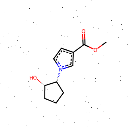 COC(=O)c1ccn([C@@H]2CCC[C@@H]2O)c1